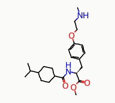 CNCCOc1ccc(C[C@H](NC(=O)C2CCC(C(C)C)CC2)C(=O)OC)cc1